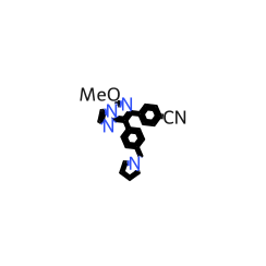 COc1nc(-c2ccc(C#N)cc2)c(-c2ccc(CN3CCCC3)cc2)c2nccn12